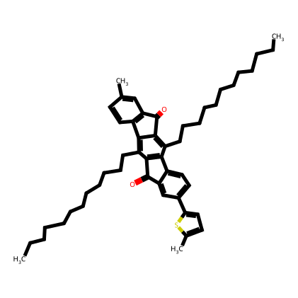 CCCCCCCCCCCCc1c2c(=O)c3cc(-c4ccc(C)s4)ccc3c2c(CCCCCCCCCCCC)c2c(=O)c3cc(C)ccc3c12